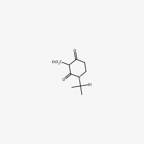 CCOC(=O)C1C(=O)CCN(C(C)(C)CC)C1=O